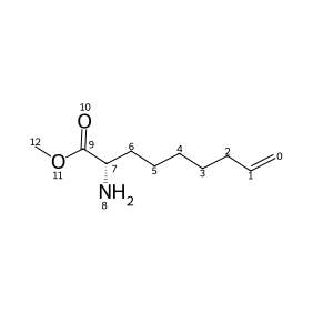 C=CCCCCC[C@H](N)C(=O)OC